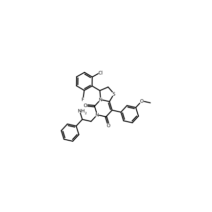 COc1cccc(-c2c3n(c(=O)n(CC(N)c4ccccc4)c2=O)C(c2c(F)cccc2Cl)CS3)c1